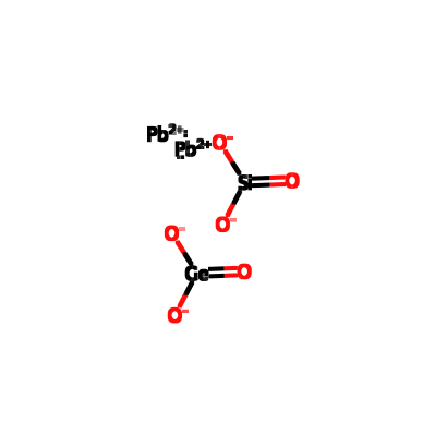 O=[Si]([O-])[O-].[O]=[Ge]([O-])[O-].[Pb+2].[Pb+2]